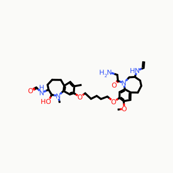 C=CNC1CCCc2cc(OC)c(OCCCCCOc3cc4c(cc3C)CCCC(NC=O)C(O)N4C)cc2N(C(=O)CN)C1